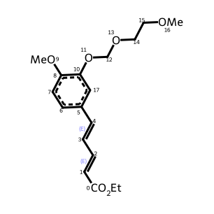 CCOC(=O)/C=C/C=C/c1ccc(OC)c(OCOCCOC)c1